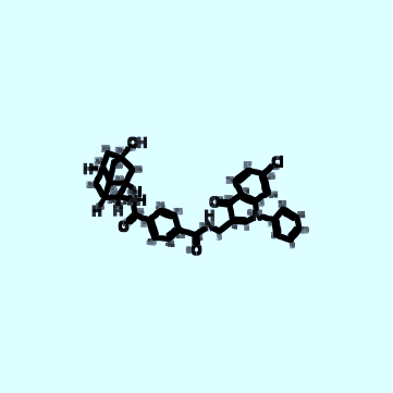 O=C(NCc1cn(-c2ccccc2)c2cc(Cl)ccc2c1=O)c1ccc(C(=O)N[C@H]2[C@@H]3C[C@H]4C[C@@H]2C[C@@](O)(C3)C4)cc1